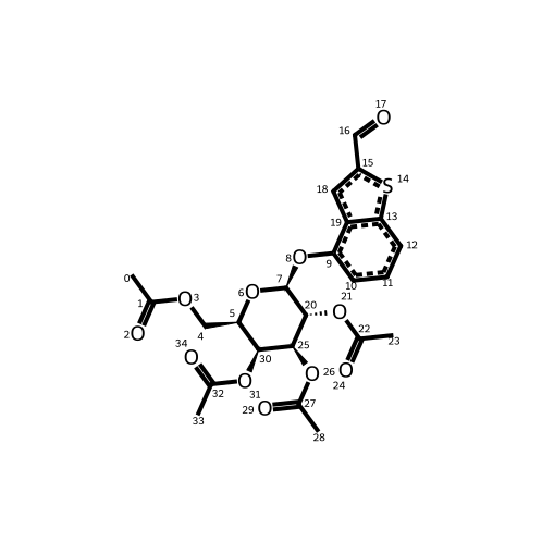 CC(=O)OC[C@H]1O[C@@H](Oc2cccc3sc(C=O)cc23)[C@H](OC(C)=O)[C@@H](OC(C)=O)[C@H]1OC(C)=O